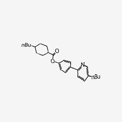 CCCCc1ccc(-c2ccc(OC(=O)C3CCC(CCCC)CC3)cc2)nc1